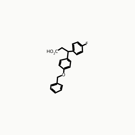 O=C(O)CC(c1ccc(F)cc1)c1ccc(OCc2ccccc2)cc1